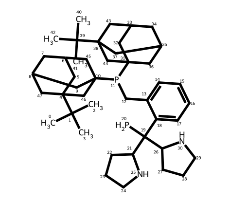 CC(C)(C)C12CC3CC(CC(P(Cc4ccccc4C(P)(C4CCCN4)C4CCCN4)C45CC6CC(C4)CC(C(C)(C)C)(C6)C5)(C3)C1)C2